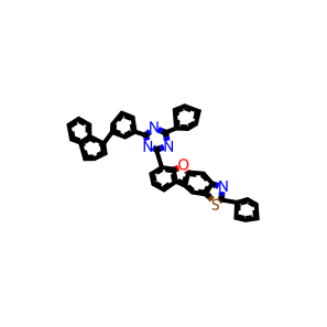 c1ccc(-c2nc(-c3cccc(-c4cccc5ccccc45)c3)nc(-c3cccc4c3oc3cc5nc(-c6ccccc6)sc5cc34)n2)cc1